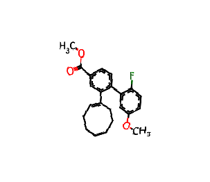 COC(=O)c1ccc(-c2cc(OC)ccc2F)c(C2=CCCCCCC2)c1